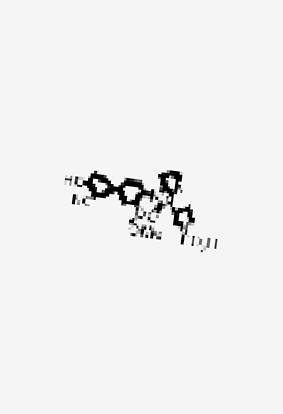 COCOc1cc(-c2ccc(O)c(C#N)c2)ccc1-n1c(=O)n(C2CCN(C(=O)O)C2)c2ncccc21